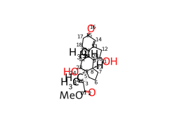 COC(=O)C(C)[C@H]1CC[C@H]2[C@@H]3C(O)CC4=CC(=O)CC[C@]4(C)[C@H]3CC(O)[C@]12C